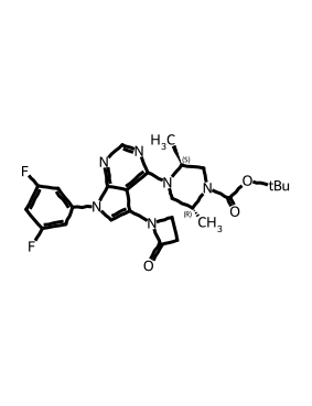 C[C@@H]1CN(c2ncnc3c2c(N2CCC2=O)cn3-c2cc(F)cc(F)c2)[C@@H](C)CN1C(=O)OC(C)(C)C